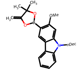 C=C1OB(c2cc3c4ccccc4n(CCCCCCCCCC)c3cc2OC)OC1(C)C